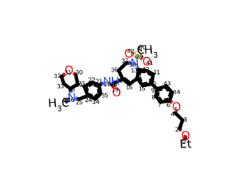 CCOCCCOc1ccc(-c2ccc3c(c2)C=C(C(=O)Nc2ccc(CN(C)C4CCOCC4)cc2)CCN3S(C)(=O)=O)cc1